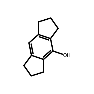 Oc1c2c(cc3c1CCC3)CCC2